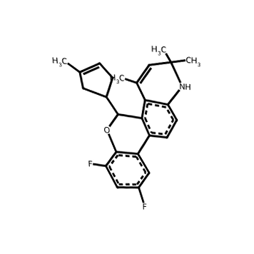 CC1=CCC(C2Oc3c(F)cc(F)cc3-c3ccc4c(c32)C(C)=CC(C)(C)N4)C1